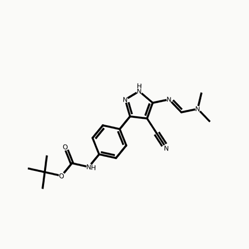 CN(C)C=Nc1[nH]nc(-c2ccc(NC(=O)OC(C)(C)C)cc2)c1C#N